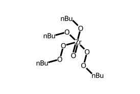 CCCCO[O][Zr](=[O])([O]CCCC)([O]CCCC)[O]OCCCC